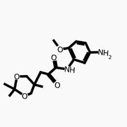 COc1ccc(N)cc1NC(=O)C(=O)CC1(C)COC(C)(C)OC1